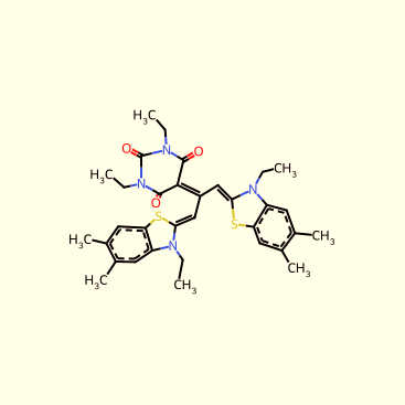 CCN1C(=O)C(=C(C=C2Sc3cc(C)c(C)cc3N2CC)C=C2Sc3cc(C)c(C)cc3N2CC)C(=O)N(CC)C1=O